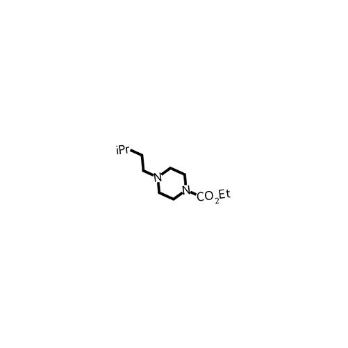 CCOC(=O)N1CCN(CCC(C)C)CC1